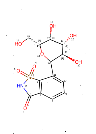 O=C1NS(=O)(=O)c2c1cccc2C1O[C@H](CO)[C@H](O)[C@H](O)[C@H]1O